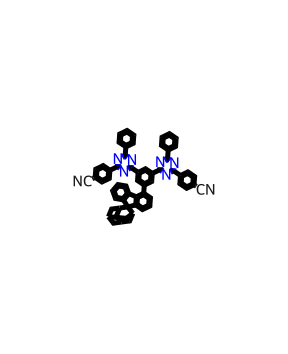 N#Cc1ccc(-c2nc(-c3ccccc3)nc(-c3cc(-c4nc(-c5ccccc5)nc(-c5ccc(C#N)cc5)n4)cc(-c4cccc5c4-c4ccccc4C54C5CC6CC(C5)CC4C6)c3)n2)cc1